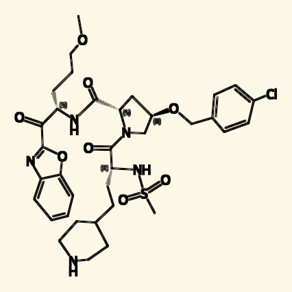 COCCC[C@H](NC(=O)[C@@H]1C[C@@H](OCc2ccc(Cl)cc2)CN1C(=O)[C@@H](CCC1CCNCC1)NS(C)(=O)=O)C(=O)c1nc2ccccc2o1